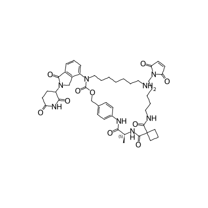 C[C@H](NC(=O)C1(C(=O)NCCCCCN2C(=O)C=CC2=O)CCC1)C(=O)Nc1ccc(COC(=O)N(CCCCCCCN)c2cccc3c2CN(C2CCC(=O)NC2=O)C3=O)cc1